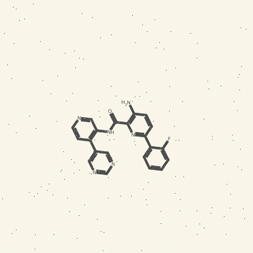 Nc1ccc(-c2ccccc2F)nc1C(=O)Nc1cnccc1-c1cncnc1